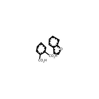 O=C(O)c1ccccc1C(=O)O.c1ccc2occc2c1